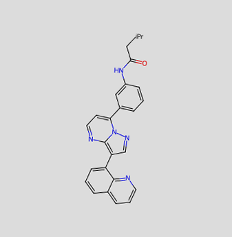 CC(C)CC(=O)Nc1cccc(-c2ccnc3c(-c4cccc5cccnc45)cnn23)c1